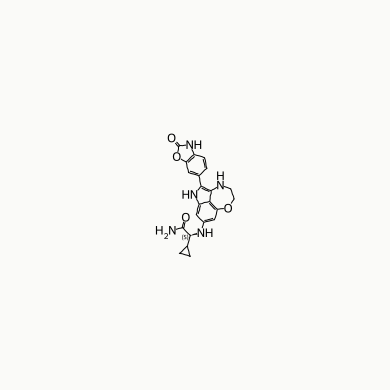 NC(=O)[C@@H](Nc1cc2c3c(c(-c4ccc5[nH]c(=O)oc5c4)[nH]c3c1)NCCO2)C1CC1